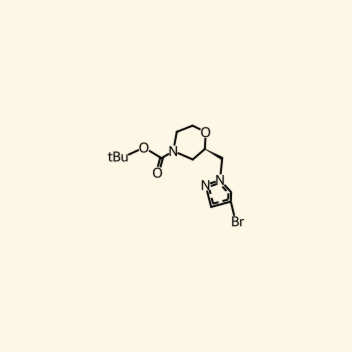 CC(C)(C)OC(=O)N1CCO[C@@H](Cn2cc(Br)cn2)C1